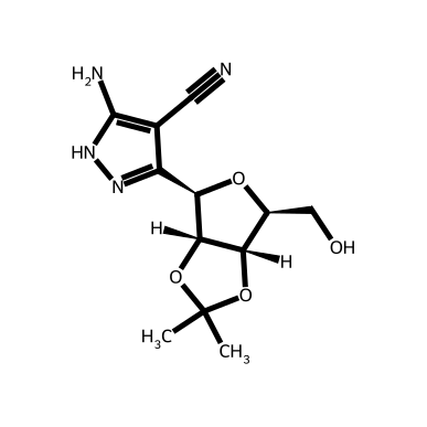 CC1(C)O[C@@H]2[C@H](O1)[C@@H](c1n[nH]c(N)c1C#N)O[C@H]2CO